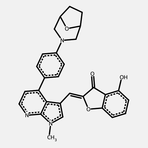 Cn1cc(/C=C2\Oc3cccc(O)c3C2=O)c2c(-c3ccc(N4CC5CCC(C4)O5)cc3)ccnc21